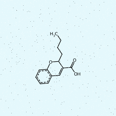 CCCCC1Oc2ccccc2C=C1C(=O)O